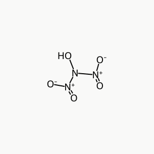 O=[N+]([O-])N(O)[N+](=O)[O-]